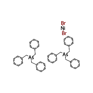 [Br][Ni][Br].c1ccc(C[As](Cc2ccccc2)Cc2ccccc2)cc1.c1ccc(C[As](Cc2ccccc2)Cc2ccccc2)cc1